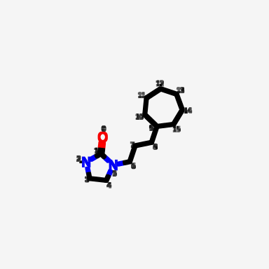 O=C1[N]CCN1CCCC1CCCCCC1